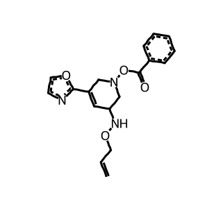 C=CCONC1C=C(c2ncco2)CN(OC(=O)c2ccccc2)C1